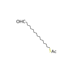 CC(=O)SCCCCCCCCCCCCCCCC=O